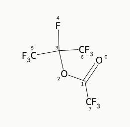 O=C(OC(F)(C(F)(F)F)C(F)(F)F)C(F)(F)F